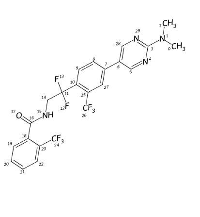 CN(C)c1ncc(-c2ccc(C(F)(F)CNC(=O)c3ccccc3C(F)(F)F)c(C(F)(F)F)c2)cn1